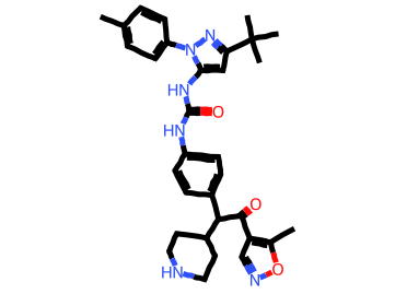 Cc1ccc(-n2nc(C(C)(C)C)cc2NC(=O)Nc2ccc(C(C(=O)c3cnoc3C)C3CCNCC3)cc2)cc1